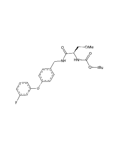 COC[C@@H](NC(=O)OC(C)(C)C)C(=O)NCc1ccc(Oc2cccc(F)c2)cc1